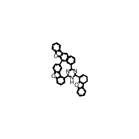 C1=C(C2=NC(c3ccccc3)=NC(c3cccc4oc5ccc(-c6cccc7c6oc6ccccc67)cc5c34)N2)c2oc3ccccc3c2CC1